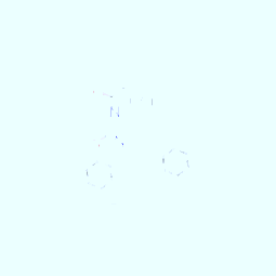 CC(C)(C)C1(C(=O)N2CC(=O)N(Cc3cccc(C(F)(F)F)c3)[C@@H](CCc3ccccc3)C2)CCCCC1